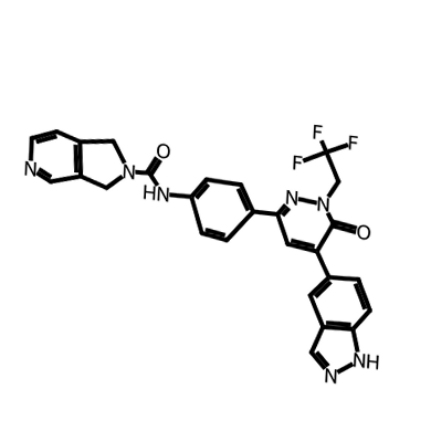 O=C(Nc1ccc(-c2cc(-c3ccc4[nH]ncc4c3)c(=O)n(CC(F)(F)F)n2)cc1)N1Cc2ccncc2C1